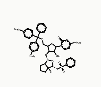 COc1ccc(C(OCC2OC(n3ccc(NC(C)=O)nc3=O)C(OC(C)=O)C2O[P@@]2O[C@H](CS(=O)(=O)c3ccccc3)[C@@H]3CCCN32)(c2ccccc2)c2ccc(OC)cc2)cc1